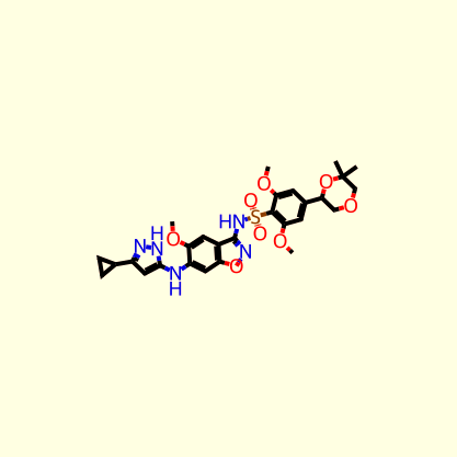 COc1cc2c(NS(=O)(=O)c3c(OC)cc(C4COCC(C)(C)O4)cc3OC)noc2cc1Nc1cc(C2CC2)n[nH]1